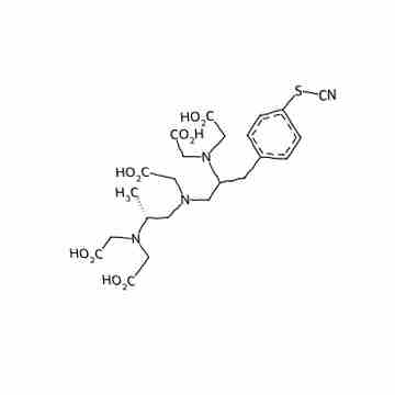 C[C@H](CN(CC(=O)O)CC(Cc1ccc(SC#N)cc1)N(CC(=O)O)CC(=O)O)N(CC(=O)O)CC(=O)O